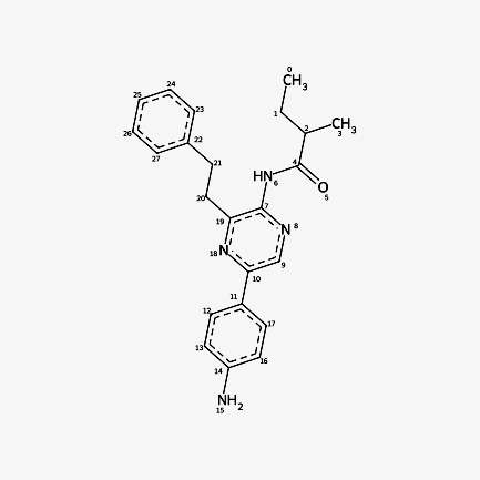 CCC(C)C(=O)Nc1ncc(-c2ccc(N)cc2)nc1CCc1ccccc1